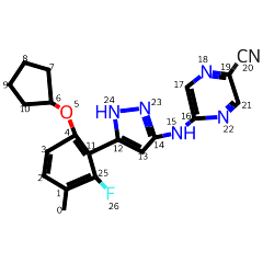 Cc1ccc(OC2CCCC2)c(-c2cc(Nc3cnc(C#N)cn3)n[nH]2)c1F